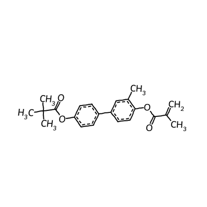 C=C(C)C(=O)Oc1ccc(-c2ccc(OC(=O)C(C)(C)C)cc2)cc1C